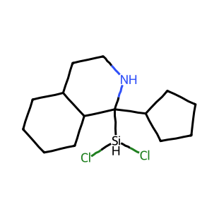 Cl[SiH](Cl)C1(C2CCCC2)NCCC2CCCCC21